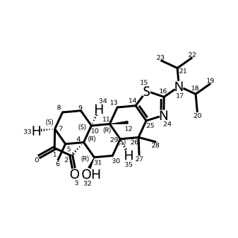 C=C1C(=O)[C@]23C(C)[C@@H]1CC[C@H]2[C@]1(C)Cc2sc(N(C(C)C)C(C)C)nc2C(C)(C)[C@H]1C[C@H]3O